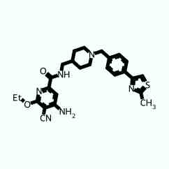 CCOc1nc(C(=O)NCC2CCN(Cc3ccc(-c4csc(C)n4)cc3)CC2)cc(N)c1C#N